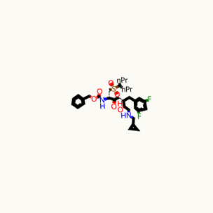 CCCC(CCC)S(=O)(=O)C[C@@H](NC(=O)OCc1ccccc1)C(=O)C[C@H](Cc1cc(F)cc(F)c1)C(O)CNCC1CC1